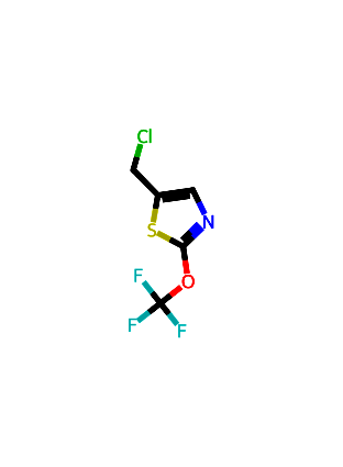 FC(F)(F)Oc1ncc(CCl)s1